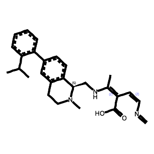 C=N/C=C\C(C(=O)O)=C(/C)NC[C@@H]1c2ccc(-c3ccccc3C(C)C)cc2CCN1C